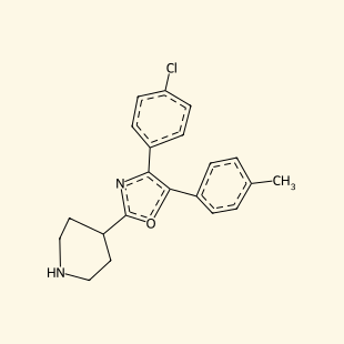 Cc1ccc(-c2oc(C3CCNCC3)nc2-c2ccc(Cl)cc2)cc1